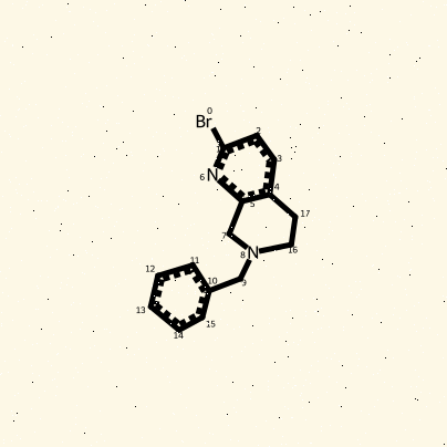 Brc1ccc2c(n1)CN(Cc1ccccc1)CC2